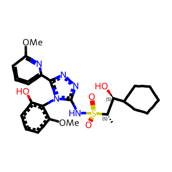 COC1=NC(c2nnc(NS(=O)(=O)[C@@H](C)[C@@H](O)C3CCCCC3)n2-c2c(O)cccc2OC)=C=C=C1